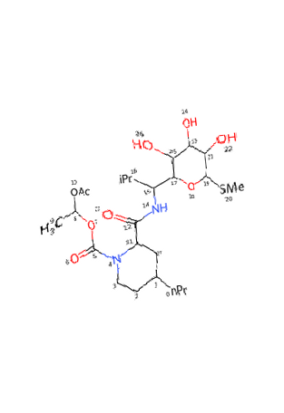 CCCC1CCN(C(=O)OC(C)OC(C)=O)C(C(=O)NC(C(C)C)C2OC(SC)C(O)C(O)C2O)C1